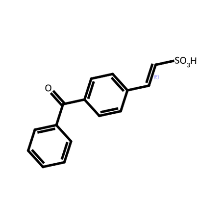 O=C(c1ccccc1)c1ccc(/C=C/S(=O)(=O)O)cc1